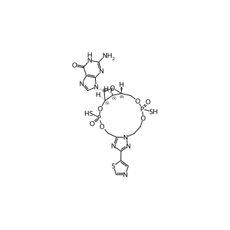 Nc1nc2c(ncn2[C@@H]2O[C@@H]3COP(=O)(S)OCCn4nc(-c5cncs5)nc4COP(=O)(S)O[C@@H]2[C@H]3F)c(=O)[nH]1